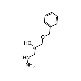 NNC[C@H](O)COCc1ccccc1